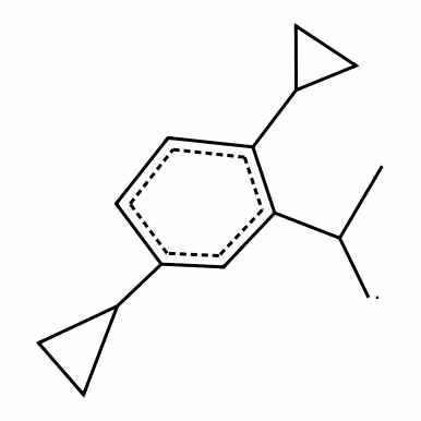 [CH2]C(C)c1cc(C2CC2)ccc1C1CC1